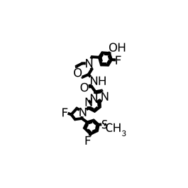 CSc1cc(F)cc(C2CC(F)CN2c2ccc3ncc(C(=O)NC4COCCN(Cc5ccc(F)c(O)c5)C4)n3n2)c1